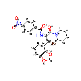 O=C(NC(C(=O)N1CCCCC1)=C(Br)c1cccc2c1OCO2)c1ccc([N+](=O)[O-])cc1